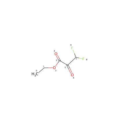 CCOC(=O)C(=O)C(F)F